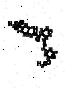 COc1cc(CC#Cc2cnccc2C(=O)NCc2ccc(S(C)(=O)=O)cc2)ccn1